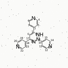 C1=C(c2ccncc2)NN(c2ccncc2)N=C1c1ccncc1